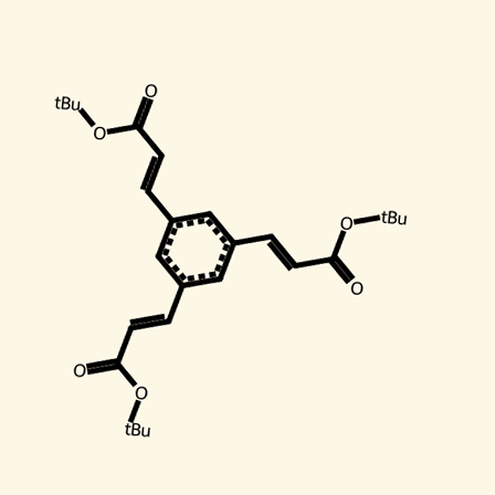 CC(C)(C)OC(=O)C=Cc1cc(C=CC(=O)OC(C)(C)C)cc(C=CC(=O)OC(C)(C)C)c1